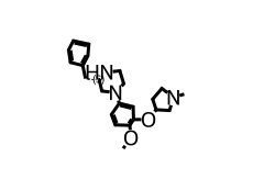 COc1ccc(N2CCN[C@@H](Cc3ccccc3)C2)cc1OC1CCN(C)C1